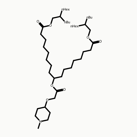 CCCCCCC(CCCC)COC(=O)CCCCCCCC(CCCCCCCC(=O)OCC(CCCC)CCCCCC)OC(=O)COC1CCN(C)CC1